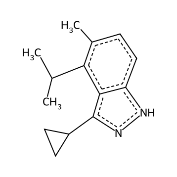 Cc1ccc2[nH]nc(C3CC3)c2c1C(C)C